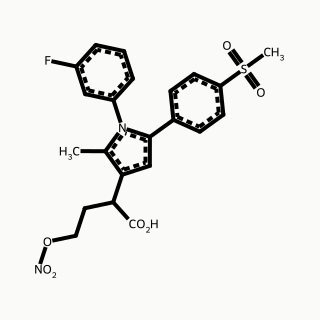 Cc1c(C(CCO[N+](=O)[O-])C(=O)O)cc(-c2ccc(S(C)(=O)=O)cc2)n1-c1cccc(F)c1